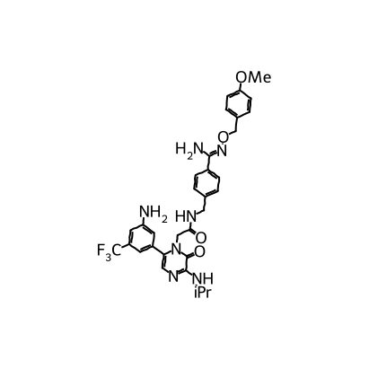 COc1ccc(CO/N=C(\N)c2ccc(CNC(=O)Cn3c(-c4cc(N)cc(C(F)(F)F)c4)cnc(NC(C)C)c3=O)cc2)cc1